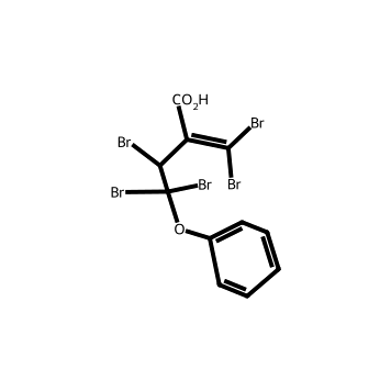 O=C(O)C(=C(Br)Br)C(Br)C(Br)(Br)Oc1ccccc1